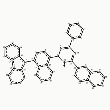 c1ccc(C2=NC(c3ccc(-n4c5ccccc5c5ccccc54)c4ccccc34)NC(c3ccc4ccccc4c3)=N2)cc1